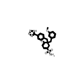 COc1cccc(CC2(Cc3ccc(-c4nnn[nH]4)cc3)CC(S(N)(=O)=O)=CC=C2Cl)c1